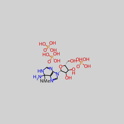 CNC1(N)NC=Nc2c1ncn2[C@@H]1O[C@H](CO)[C@@H](O)[C@H]1O.O=P(O)(O)O.O=P(O)(O)O.O=P(O)(O)O